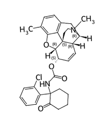 Cc1ccc2c3c1O[C@H]1[C@@H](OC(=O)NC4(c5ccccc5Cl)CCCCC4=O)C=C[C@H]4[C@@H](C2)N(C)CC[C@@]341